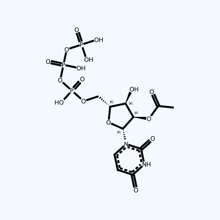 CC(=O)O[C@@H]1[C@H](O)[C@@H](COP(=O)(O)OP(=O)(O)OP(=O)(O)O)O[C@H]1n1ccc(=O)[nH]c1=O